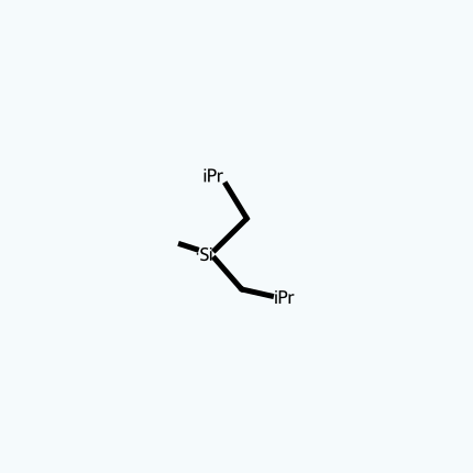 CC(C)C[Si](C)CC(C)C